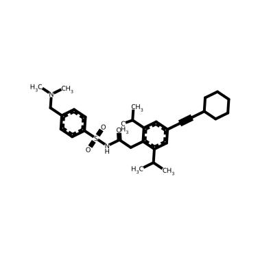 CC(C)c1cc(C#CC2CCCCC2)cc(C(C)C)c1CC(=O)NS(=O)(=O)c1ccc(CN(C)C)cc1